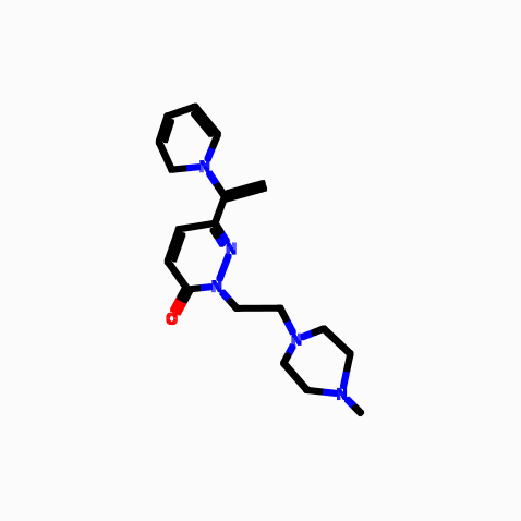 C=C(c1ccc(=O)n(CCN2CCN(C)CC2)n1)N1C=CC=CC1